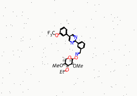 CCO[C@@H]1[C@@H](OC)[C@H](C)O[C@@H](O/N=C/c2cccc(-c3ncc(-c4cccc(OC(F)(F)F)c4)cn3)c2)[C@@H]1OC